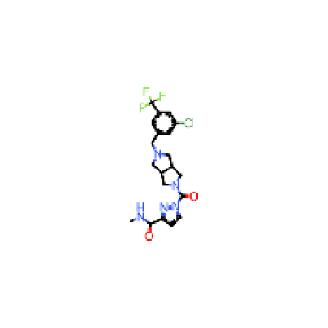 CNC(=O)c1ccn(C(=O)N2CC3CN(Cc4cc(Cl)cc(C(F)(F)F)c4)CC3C2)n1